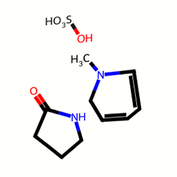 CN1C=CC=CC1.O=C1CCCN1.O=S(=O)(O)O